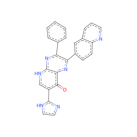 O=c1c(-c2ncc[nH]2)c[nH]c2nc(-c3ccccc3)c(-c3ccc4ncccc4c3)nc12